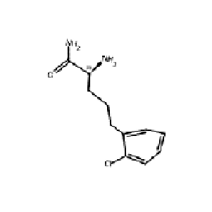 NC(=O)[C@@H](N)CCCc1ccccc1Cl